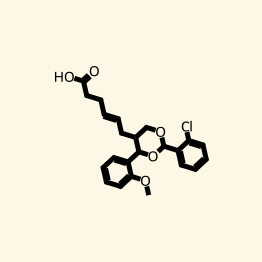 COc1ccccc1C1OC(c2ccccc2Cl)OCC1CC=CCCC(=O)O